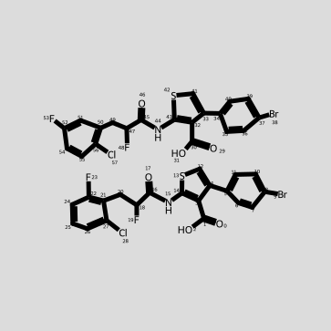 O=C(O)c1c(-c2ccc(Br)cc2)csc1NC(=O)C(F)Cc1c(F)cccc1Cl.O=C(O)c1c(-c2ccc(Br)cc2)csc1NC(=O)C(F)Cc1cc(F)ccc1Cl